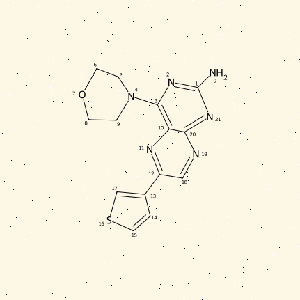 Nc1nc(N2CCOCC2)c2nc(-c3ccsc3)cnc2n1